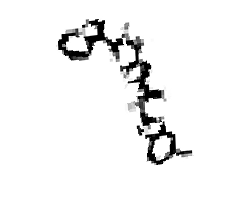 C[C@@H](NC(=O)c1cnn2ccccc12)c1cc(C(=O)Nc2nc3ccc(F)cc3s2)on1